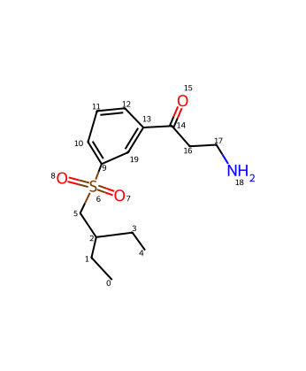 CCC(CC)CS(=O)(=O)c1cccc(C(=O)CCN)c1